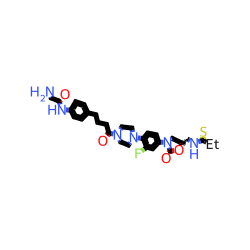 CCC(=S)NC[C@H]1CN(c2ccc(N3CCN(C(=O)CCCc4ccc(NC(=O)CN)cc4)CC3)c(F)c2)C(=O)O1